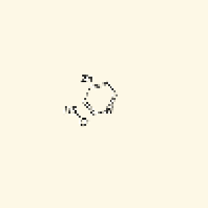 [O]S.[Zn].c1ccncc1